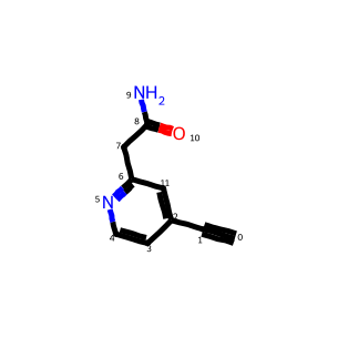 C#Cc1ccnc(CC(N)=O)c1